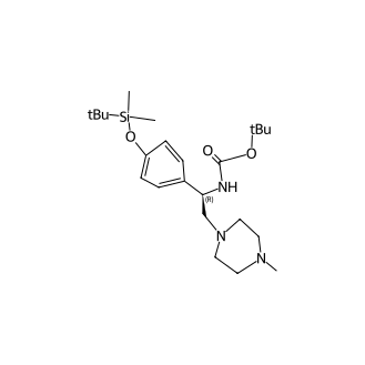 CN1CCN(C[C@H](NC(=O)OC(C)(C)C)c2ccc(O[Si](C)(C)C(C)(C)C)cc2)CC1